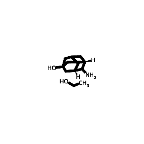 CCO.NC1[C@@H]2CC3C[C@H]1CC(O)(C3)C2